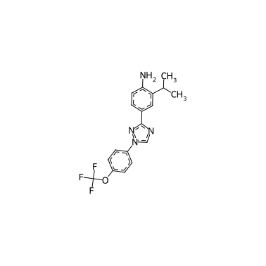 CC(C)c1cc(-c2ncn(-c3ccc(OC(F)(F)F)cc3)n2)ccc1N